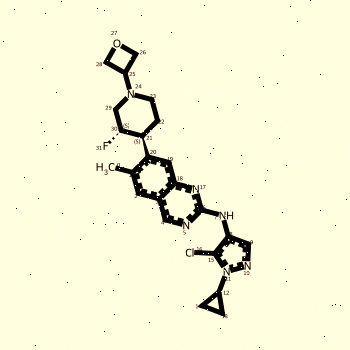 Cc1cc2cnc(Nc3cnn(C4CC4)c3Cl)nc2cc1[C@@H]1CCN(C2COC2)C[C@H]1F